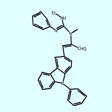 CCNC(=Nc1ccccc1)N(C)/C(C=O)=C/c1ccc2c(c1)c1ccccc1n2-c1ccccc1